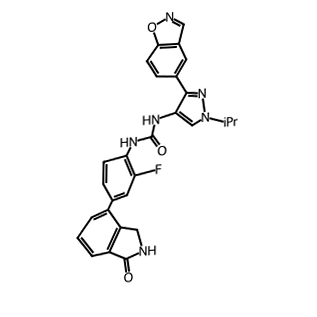 CC(C)n1cc(NC(=O)Nc2ccc(-c3cccc4c3CNC4=O)cc2F)c(-c2ccc3oncc3c2)n1